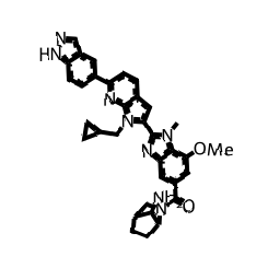 COc1cc(C(=O)N2CC3CCC2C3N)cc2nc(-c3cc4ccc(-c5ccc6[nH]ncc6c5)nc4n3CC3CC3)n(C)c12